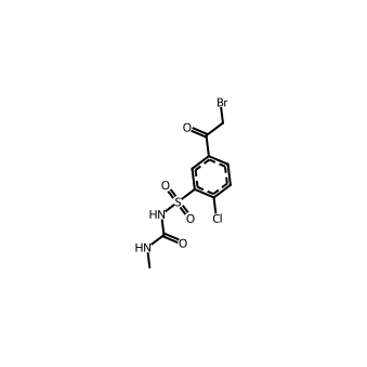 CNC(=O)NS(=O)(=O)c1cc(C(=O)CBr)ccc1Cl